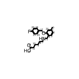 Cc1ccc(CNCCCCCC(=O)O)c(OCc2ccc(F)cc2)c1